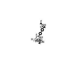 CC(C)(F)C[C@H](N[C@@H](c1ccc(-c2ccc(C3(C(=O)NC4CC4F)CC3)cc2)cc1)C(F)F)C(=O)NC1(C#N)CC1